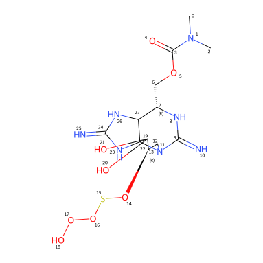 CN(C)C(=O)OC[C@@H]1NC(=N)N2C[C@@H](OSOOO)C(O)(O)C23NC(=N)NC13